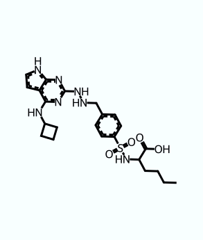 CCCCC(NS(=O)(=O)c1ccc(CNNc2nc(NC3CCC3)c3cc[nH]c3n2)cc1)C(=O)O